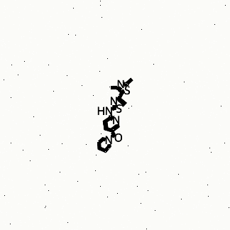 Cc1nc(C)c(-c2csc(Nc3ccc(C(=O)N4CCCCC4)cn3)n2)s1